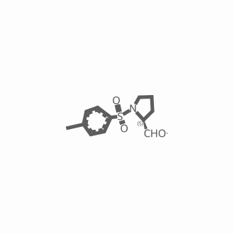 Cc1ccc(S(=O)(=O)N2CCC[C@H]2[C]=O)cc1